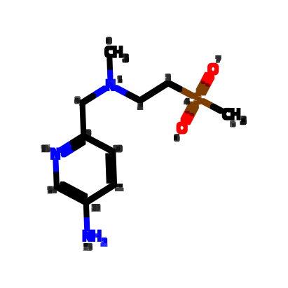 CN(CCS(C)(=O)=O)Cc1ccc(N)cn1